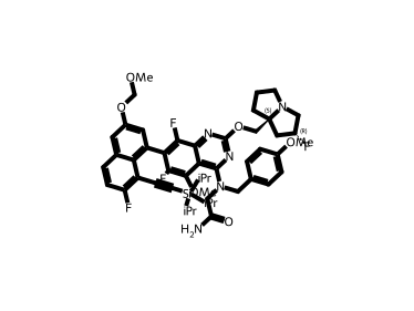 COCOc1cc(-c2c(F)c(OC)c3c(N(CC(N)=O)Cc4ccc(OC)cc4)nc(OC[C@@]45CCCN4C[C@H](F)C5)nc3c2F)c2c(C#C[Si](C(C)C)(C(C)C)C(C)C)c(F)ccc2c1